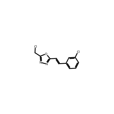 ClCc1nnc(/C=C/c2cccc(Cl)c2)o1